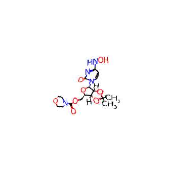 CC1(C)O[C@@H]2[C@H](O1)[C@@H](COC(=O)N1CCOCC1)O[C@H]2n1ccc(NO)nc1=O